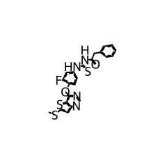 CSc1cc2ncnc(Oc3ccc(NC(=S)NC(=O)Cc4ccccc4)cc3F)c2s1